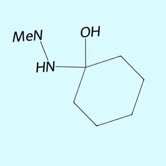 CNNC1(O)CCCCC1